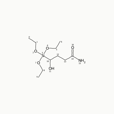 CCO[Si](OCC)(OCC)C(O)CCC(N)=O